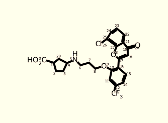 O=C(O)C1CCC(NCCCOc2cc(C(F)(F)F)ccc2-c2cc(=O)c3cccc(Cl)c3o2)C1